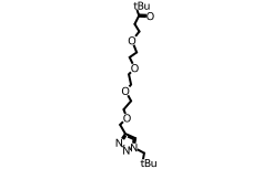 CC(C)(C)Cn1cc(COCCOCCOCCOCCC(=O)C(C)(C)C)nn1